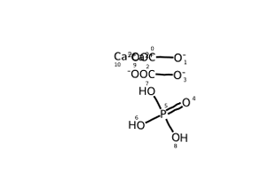 O=C([O-])[O-].O=C([O-])[O-].O=P(O)(O)O.[Ca+2].[Ca+2]